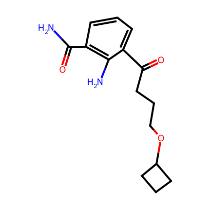 NC(=O)c1cccc(C(=O)CCCOC2CCC2)c1N